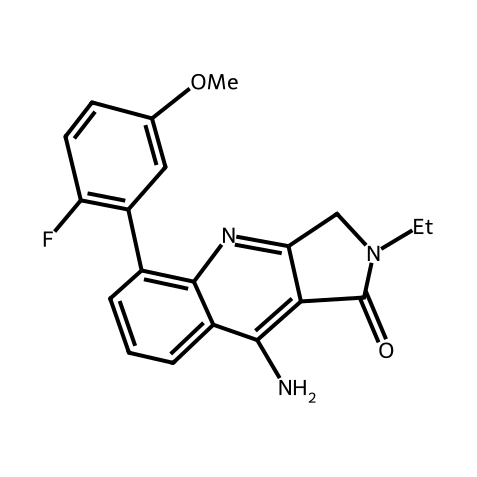 CCN1Cc2nc3c(-c4cc(OC)ccc4F)cccc3c(N)c2C1=O